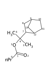 CCCC(=O)OC(C)(C)C1CC2CCC1C2